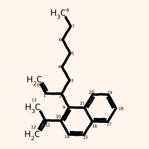 C=CC(CCCCCC)c1c(C(=C)C)ccc2ccccc12